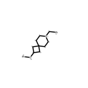 CC(C)CN1CCC2(CC1)CC(OC(C)C)C2